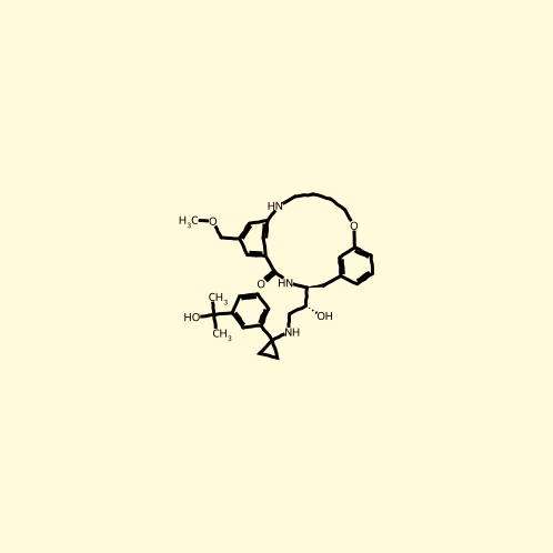 COCc1cc2cc(c1)C(=O)N[C@H]([C@H](O)CNC1(c3cccc(C(C)(C)O)c3)CC1)Cc1cccc(c1)OCCCCN2